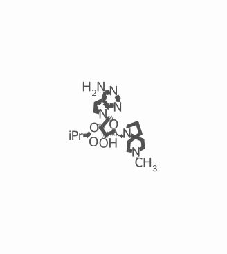 CC(C)C(=O)O[C@@H]1[C@H](O)[C@@H](CN2CCCC23CCN(C)CC3)O[C@H]1n1ccc2c(N)ncnc21